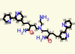 NCCN(CCC(CCc1ccnc(-c2ccccn2)c1)C(N)=O)CCC(CCc1ccnc(-c2ccccn2)c1)C(N)=O